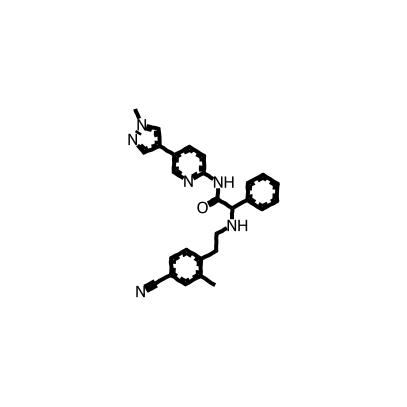 Cc1cc(C#N)ccc1CCNC(C(=O)Nc1ccc(-c2cnn(C)c2)cn1)c1ccccc1